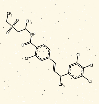 C[C@H](CS(=O)(=O)CC(F)(F)F)NC(=O)c1ccc(/C=C/C(c2cc(Cl)c(Cl)c(Cl)c2)C(F)(F)F)cc1Cl